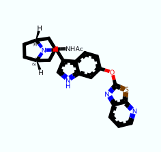 CC(=O)NC1C[C@H]2CC[C@@H](C1)N2Cc1c[nH]c2cc(Oc3nc4cccnc4s3)ccc12